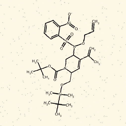 C=CCON(C1CN(C(=O)OC(C)(C)C)C(CO[Si](C)(C)C(C)(C)C)C=C1C(=C)C)S(=O)(=O)c1ccccc1[N+](=O)[O-]